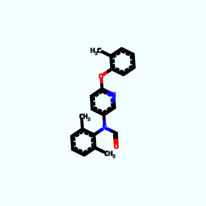 Cc1ccccc1Oc1ccc(N(C=O)c2c(C)cccc2C)cn1